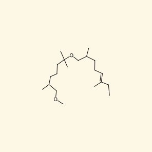 CC/C(C)=C/CCC(C)COC(C)(C)CCCC(C)COC